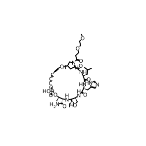 COCCOCCC(=O)N1C[C@H]2C[C@H]1C(=O)N[C@@H](CC(C)C)C(=O)N[C@@H](Cc1cnc[nH]1)C(=O)N[C@@H](CO)C(=O)N[C@H](C(N)=O)[C@@H](C)OP(=O)(O)OCCC/C=C\O2